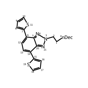 CCCCCCCCCCCCn1nc2c(-c3cccs3)ccc(-c3cccs3)c2n1